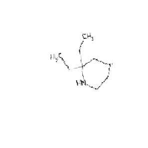 CCC1(CC)C[CH]CCN1